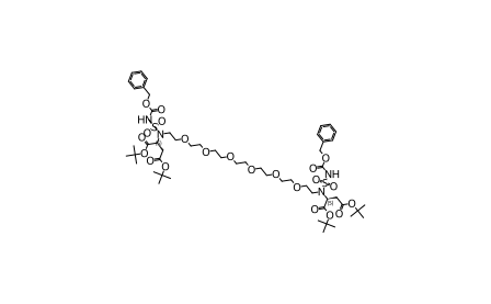 CC(C)(C)OC(=O)C[C@@H](C(=O)OC(C)(C)C)N(CCOCCOCCOCCOCCOCCOCCN([C@@H](CC(=O)OC(C)(C)C)C(=O)OC(C)(C)C)S(=O)(=O)NC(=O)OCc1ccccc1)S(=O)(=O)NC(=O)OCc1ccccc1